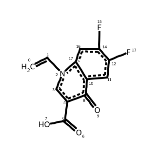 C=Cn1cc(C(=O)O)c(=O)c2cc(F)c(F)cc21